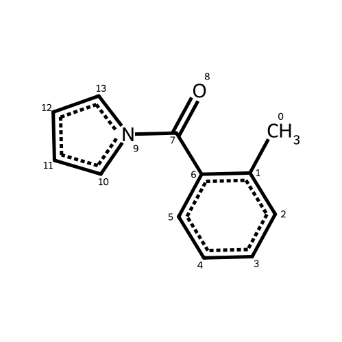 Cc1ccccc1C(=O)n1cccc1